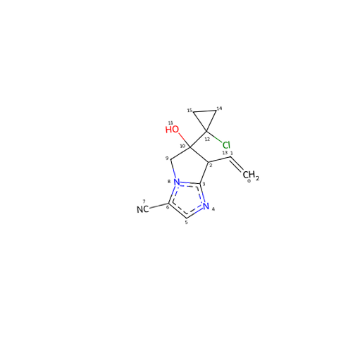 C=CC1c2ncc(C#N)n2CC1(O)C1(Cl)CC1